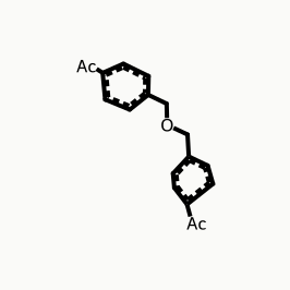 CC(=O)c1ccc(COCc2ccc(C(C)=O)cc2)cc1